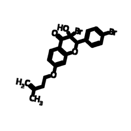 C=C(C)CCOc1ccc2c(c1)OC(c1ccc(Br)cc1)C(O)(Br)C2=O